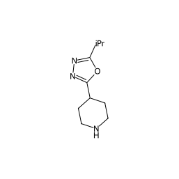 CC(C)c1nnc(C2CCNCC2)o1